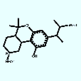 CCCCCC(C)C(C)c1cc(O)c2c(c1)OC(C)(C)C1CC[C@H](NC(C)=O)CC21